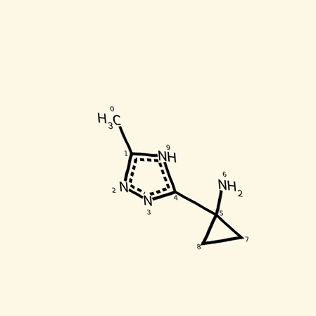 Cc1nnc(C2(N)CC2)[nH]1